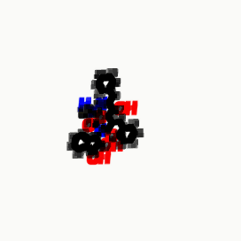 CC(C)(C)OC(=O)N(C(=O)C(Cc1ccccc1)CC(O)C(N)Cc1ccccc1)[C@H]1c2ccccc2[C@@H](O)[C@H]1O